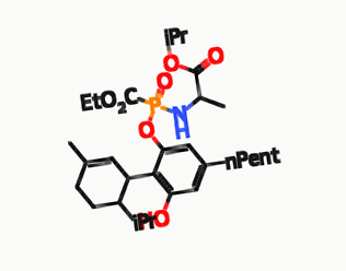 CCCCCc1cc(O)c(C2C=C(C)CCC2C(C)C)c(OP(=O)(NC(C)C(=O)OC(C)C)C(=O)OCC)c1